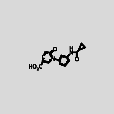 O=C(O)c1ccc(=O)n(-c2cccc(NC(=O)C3CC3)c2)c1